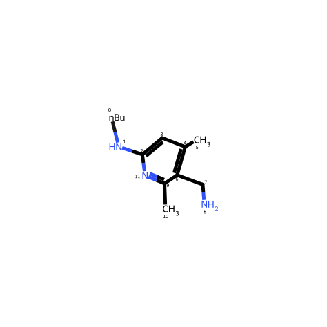 CCCCNc1cc(C)c(CN)c(C)n1